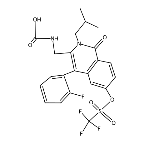 CC(C)Cn1c(CNC(=O)O)c(-c2ccccc2F)c2cc(OS(=O)(=O)C(F)(F)F)ccc2c1=O